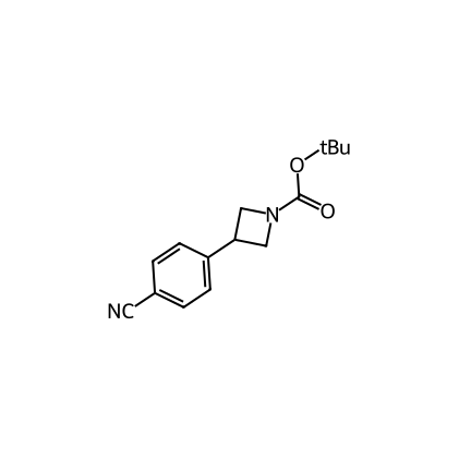 CC(C)(C)OC(=O)N1CC(c2ccc(C#N)cc2)C1